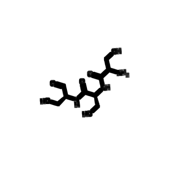 NC(CO)C(=O)N[C@@H](CO)C(=O)N[C@H](C=O)CO